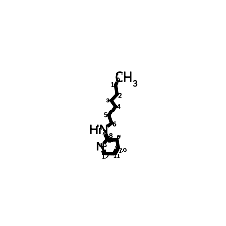 CCCCCCCNc1ccccn1